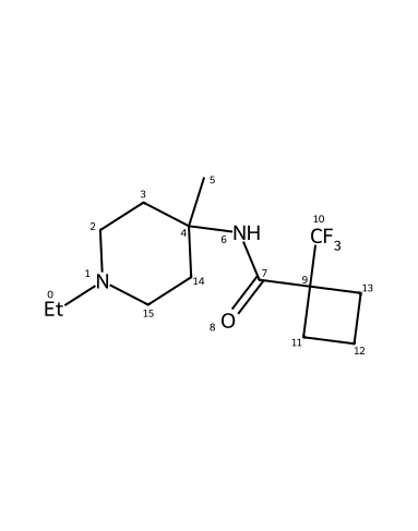 CCN1CCC(C)(NC(=O)C2(C(F)(F)F)CCC2)CC1